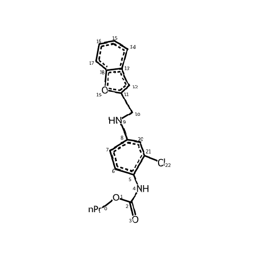 CCCOC(=O)Nc1ccc(NCc2cc3ccccc3o2)cc1Cl